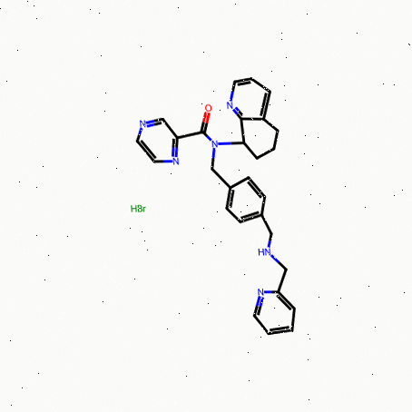 Br.O=C(c1cnccn1)N(Cc1ccc(CNCc2ccccn2)cc1)C1CCCc2cccnc21